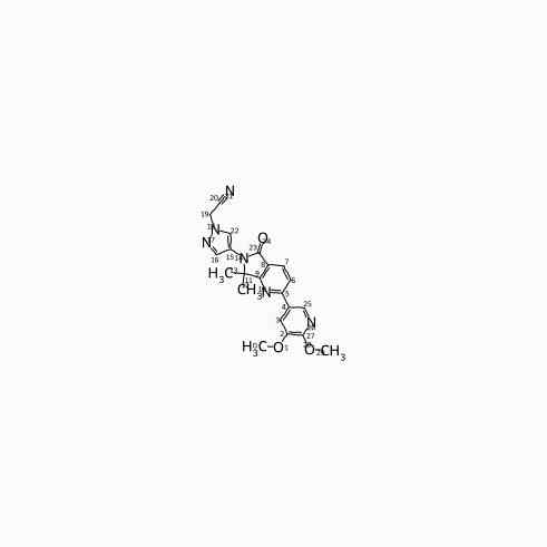 COc1cc(-c2ccc3c(n2)C(C)(C)N(c2cnn(CC#N)c2)C3=O)cnc1OC